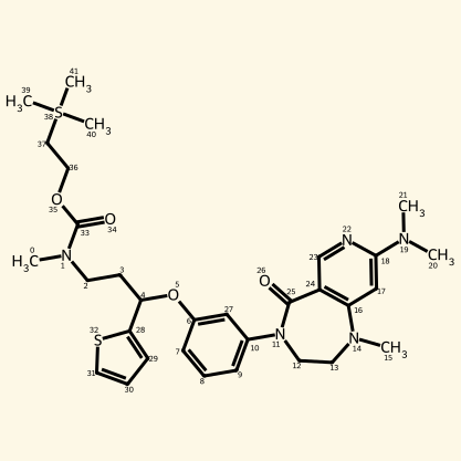 CN(CCC(Oc1cccc(N2CCN(C)c3cc(N(C)C)ncc3C2=O)c1)c1cccs1)C(=O)OCCS(C)(C)C